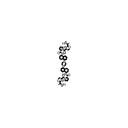 CC[C@H](NC(=O)[C@H](C)NC)C(=O)N1CCC[C@H]1C(=O)N[C@@H]1CCCc2c1cccc2N1CCN(c2cccc3c2CCC[C@H]3NC(=O)[C@@H]2CCCN2C(=O)[C@H](CC)NC(=O)[C@H](C)NC)CC1